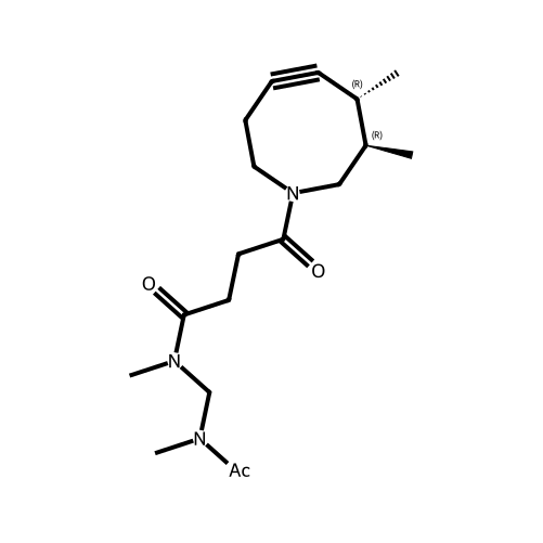 CC(=O)N(C)CN(C)C(=O)CCC(=O)N1CCC#C[C@H](C)[C@@H](C)C1